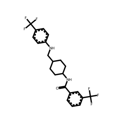 O=C(NC1CCC(CNc2ccc(C(F)(F)F)cc2)CC1)c1cccc(C(F)(F)F)c1